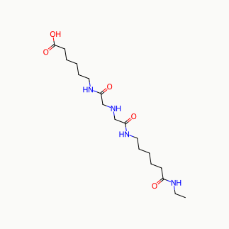 CCNC(=O)CCCCCNC(=O)CNCC(=O)NCCCCCC(=O)O